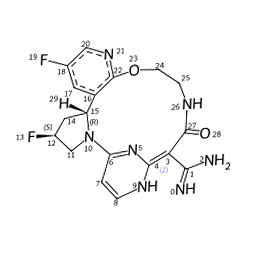 N=C(N)/C1=C2/N=C(C=CN2)N2C[C@@H](F)C[C@@H]2c2cc(F)cnc2OCCNC1=O